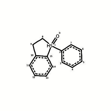 O=[SH]1(c2ccccc2)CCc2ccccc21